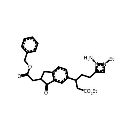 CCOC(=O)CC(CCc1cn(CC)n1N)c1ccc2c(c1)C(=O)C(CC(=O)OCc1ccccc1)C2